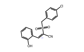 N#C/C(=C/c1ccccc1O)S(=O)(=O)Cc1ccc(Cl)cc1